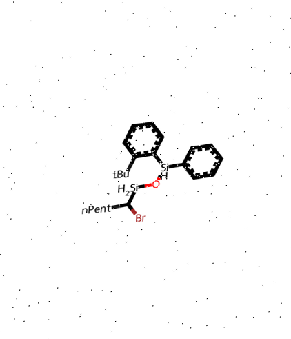 CCCCCC(Br)[SiH2]O[SiH](c1ccccc1)c1ccccc1C(C)(C)C